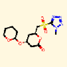 Cn1nnnc1S(=O)(=O)C[C@@H]1C[C@@H](OC2CCCCO2)CC(=O)O1